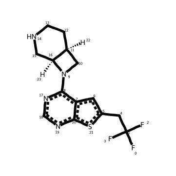 FC(F)(F)Cc1cc2c(N3C[C@@H]4CCNC[C@@H]43)ncnc2s1